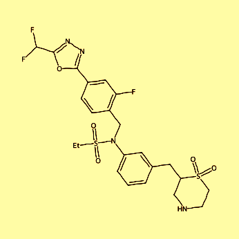 CCS(=O)(=O)N(Cc1ccc(-c2nnc(C(F)F)o2)cc1F)c1cccc(CC2CNCCS2(=O)=O)c1